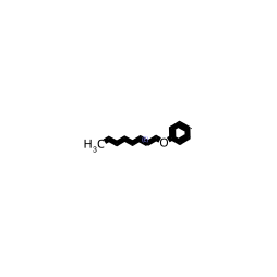 CCCCC/C=C/COc1cc[c]cc1